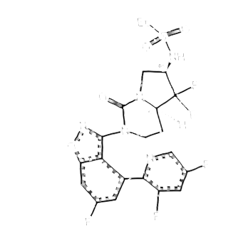 CCS(=O)(=O)N[C@@H]1CN2C(=O)N(c3noc4cc(F)cc(-c5ncc(F)cc5F)c34)CC[C@@H]2C1(F)F